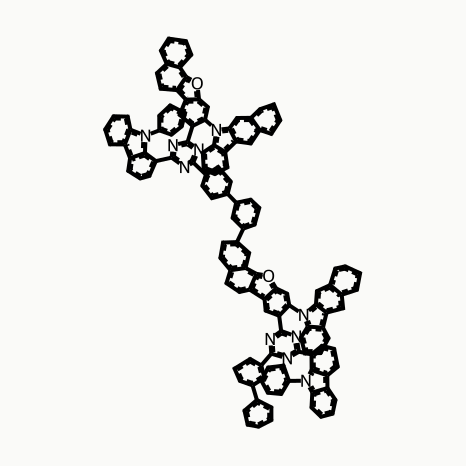 c1ccc(-c2cccc(-c3nc(-c4cc5c(cc4-n4c6ccccc6c6cc7ccccc7cc64)oc4c6cc(-c7cccc(-c8ccc(-c9nc(-c%10cc%11c(cc%10-n%10c%12ccccc%12c%12cc%13ccccc%13cc%12%10)oc%10c%12ccccc%12ccc%11%10)nc(-c%10cccc%11c%12ccccc%12n(-c%12ccccc%12)c%10%11)n9)cc8)c7)ccc6ccc54)nc(-c4cccc5c6ccccc6n(-c6ccccc6)c45)n3)c2)cc1